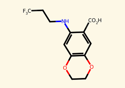 O=C(O)c1cc2c(cc1NCCC(F)(F)F)OCCO2